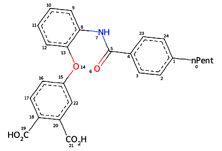 CCCCCc1ccc(C(=O)Nc2ccccc2Oc2ccc(C(=O)O)c(C(=O)O)c2)cc1